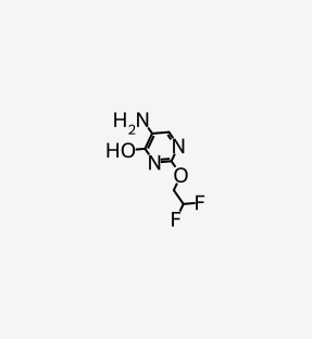 Nc1cnc(OCC(F)F)nc1O